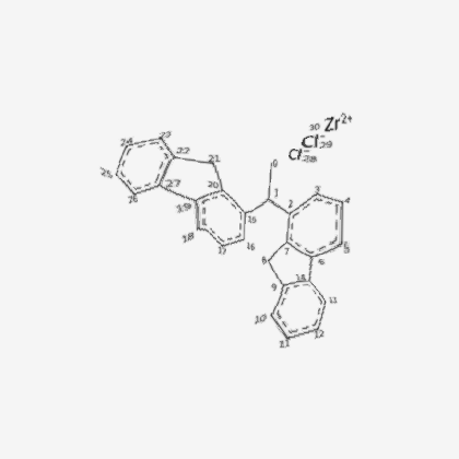 CC(c1cccc2c1Cc1ccccc1-2)c1cccc2c1Cc1ccccc1-2.[Cl-].[Cl-].[Zr+2]